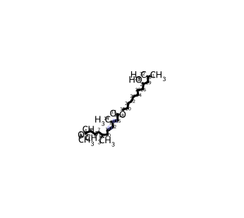 COC(C)(C)CCC[C@H](C)C/C=C/C(C)=C/C(=O)OCCCCCCCCC(O)CC(C)C